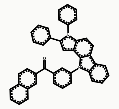 O=C(c1cccc(-n2c3ccccc3c3ccc4c(cc(-c5ccccc5)n4-c4ccccc4)c32)c1)c1ccc2ccccc2c1